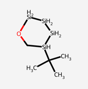 CC(C)(C)[SiH]1CO[SiH2][SiH2][SiH2]1